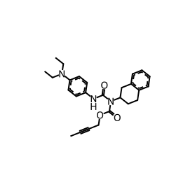 CC#CCOC(=O)N(C(=O)Nc1ccc(N(CC)CC)cc1)C1CCc2ccccc2C1